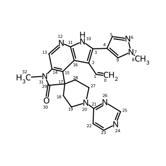 C=Cc1c(-c2cnn(C)c2)[nH]c2ncc3c(c12)C1(CCN(c2ccncn2)CC1)C(=O)N3C